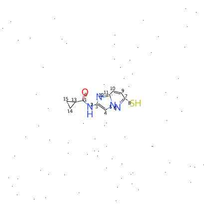 O=C(Nc1cn2nc(S)ccc2n1)C1CC1